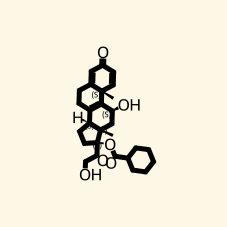 C[C@]12C=CC(=O)C=C1CCC1=C2[C@@H](O)C[C@@]2(C)[C@H]1CC[C@]2(OC(=O)C1CCCCC1)C(=O)CO